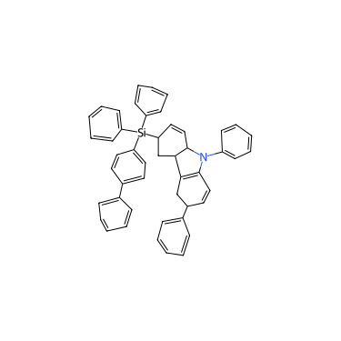 C1=CC(c2ccccc2)CC2=C1N(c1ccccc1)C1C=CC([Si](c3ccccc3)(c3ccccc3)c3ccc(-c4ccccc4)cc3)CC21